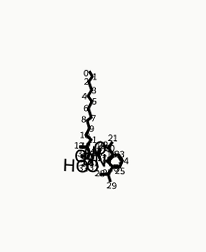 CCCCCCCCCCCCC(C)N(C(=O)Nc1c(C(C)C)cccc1C(C)C)S(=O)(=O)O